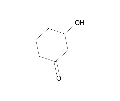 O=C1CCCC(O)C1